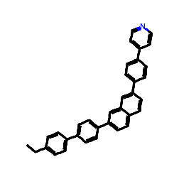 CCc1ccc(-c2ccc(-c3ccc4ccc(-c5ccc(-c6ccncc6)cc5)cc4c3)cc2)cc1